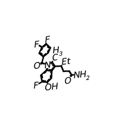 CC[C@@H](CCC(N)=O)c1c(C)n(C(=O)c2ccc(F)c(F)c2)c2cc(F)c(O)cc12